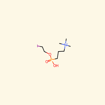 C[N+](C)(C)CCCP(=O)(O)OCCI